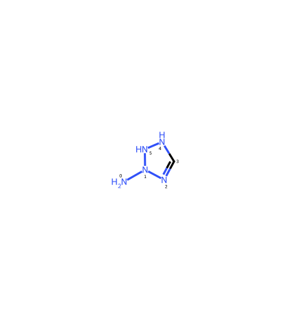 NN1N=CNN1